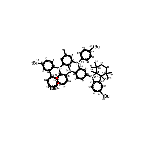 Cc1cc2c3c(c1)N(c1ccc(C(C)(C)C)cc1-c1ccccc1)c1cc(C(C)(C)C)ccc1B3c1ccc(N3c4ccc(C(C)(C)C)cc4C4(C)C(C)(C)CCC(C)(C)C34C)cc1N2c1ccc(C(C)(C)C)cc1